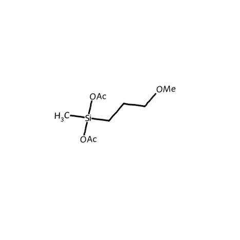 COCCC[Si](C)(OC(C)=O)OC(C)=O